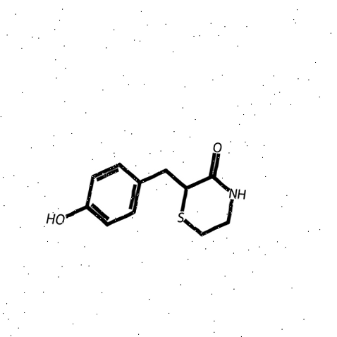 O=C1NCCSC1Cc1ccc(O)cc1